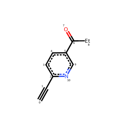 C#Cc1ccc(C(=O)CC)cn1